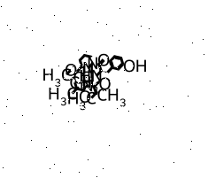 COC(=O)C1CCCN(C(=O)[C@H](Cc2cccc(O)c2)NC(=O)C(NC(=O)C(C)C)C(C)C)N1